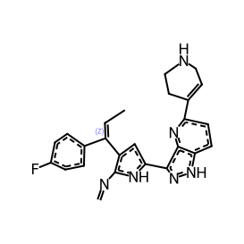 C=Nc1[nH]c(-c2n[nH]c3ccc(C4=CCNCC4)nc23)cc1/C(=C\C)c1ccc(F)cc1